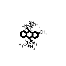 Cc1ccc2c(c1)C(C#N)(O[Si](C)(C)C)c1ccccc1C2(C#N)O[Si](C)(C)C